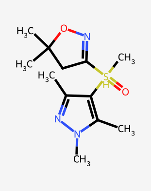 Cc1nn(C)c(C)c1[SH](C)(=O)C1=NOC(C)(C)C1